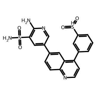 Nc1ncc(-c2ccc3nccc(-c4cccc([SH](=O)=O)c4)c3c2)cc1S(N)(=O)=O